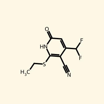 CCSc1[nH]c(=O)cc(C(F)F)c1C#N